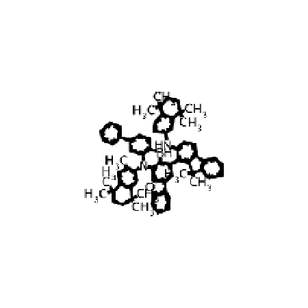 Cc1cc2c(cc1N1c3cc(-c4ccccc4)ccc3Bc3c(-c4c(Nc5ccc6c(c5)C(C)(C)CCC6(C)C)ccc5c4C(C)(C)c4ccccc4-5)cc4c(oc5ccccc54)c31)C(C)(C)CCC2(C)C